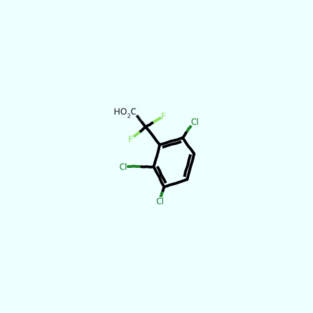 O=C(O)C(F)(F)c1c(Cl)ccc(Cl)c1Cl